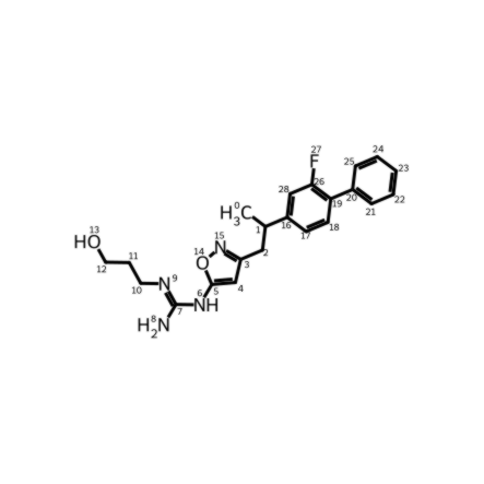 CC(Cc1cc(NC(N)=NCCCO)on1)c1ccc(-c2ccccc2)c(F)c1